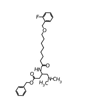 CN(C)CC(CC(=O)OCc1ccccc1)NC(=O)CCCCCCCOCc1ccccc1F